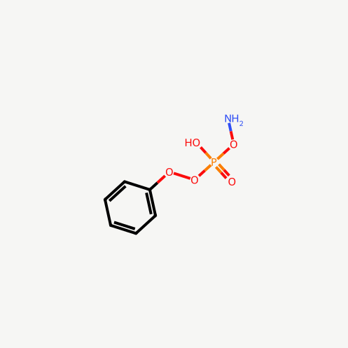 NOP(=O)(O)OOc1ccccc1